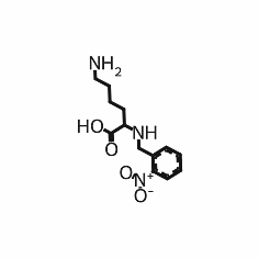 NCCCCC(NCc1ccccc1[N+](=O)[O-])C(=O)O